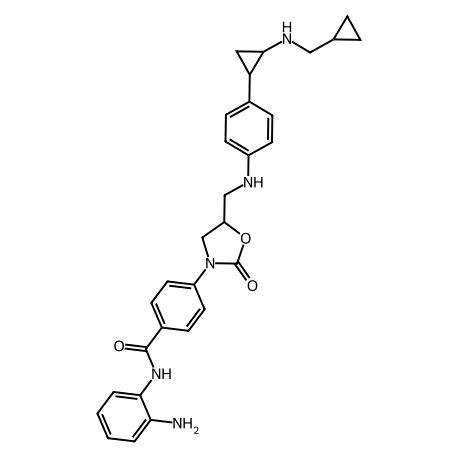 Nc1ccccc1NC(=O)c1ccc(N2CC(CNc3ccc(C4CC4NCC4CC4)cc3)OC2=O)cc1